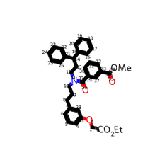 CCOC(=O)COc1cccc(CCCN(CCC(c2ccccc2)c2ccccc2)C(=O)c2cccc(C(=O)OC)c2)c1